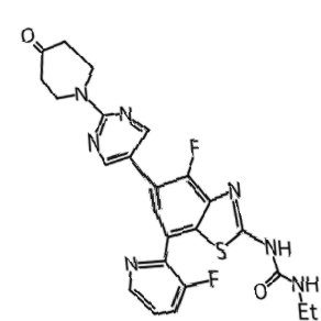 CCNC(=O)Nc1nc2c(F)c(-c3cnc(N4CCC(=O)CC4)nc3)cc(-c3ncccc3F)c2s1